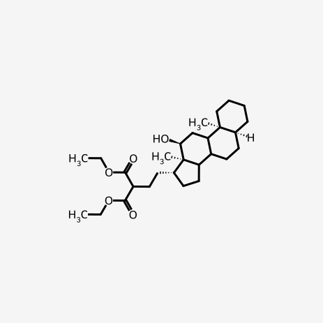 CCOC(=O)C(CC[C@H]1CCC2C3CC[C@@H]4CCCC[C@]4(C)C3C[C@H](O)[C@@]21C)C(=O)OCC